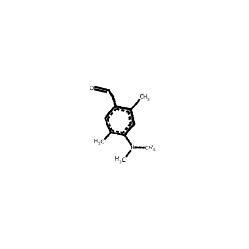 Cc1cc(N(C)C)c(C)cc1C=O